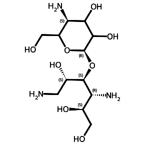 NC[C@H](O)[C@@H](O[C@H]1OC(CO)[C@@H](N)C(O)C1O)[C@H](N)[C@H](O)CO